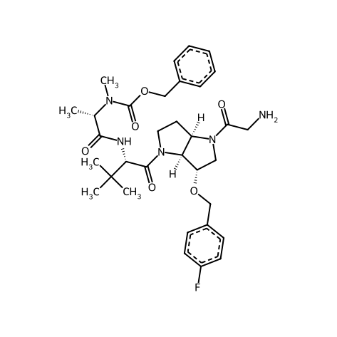 C[C@@H](C(=O)N[C@H](C(=O)N1CC[C@@H]2[C@H]1[C@@H](OCc1ccc(F)cc1)CN2C(=O)CN)C(C)(C)C)N(C)C(=O)OCc1ccccc1